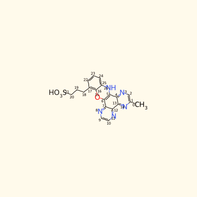 Cc1cnc2c3c(c4nccnc4c2n1)Oc1c(CCCS(=O)(=O)O)cccc1N3